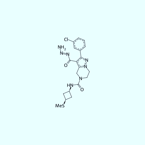 CS[C@H]1C[C@@H](NC(=O)N2CCn3nc(-c4cccc(Cl)c4)c(C(=O)N=NN)c3C2)C1